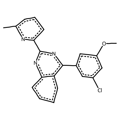 COc1cc(Cl)cc(-c2nc(-c3cccc(C)n3)nc3ccccc23)c1